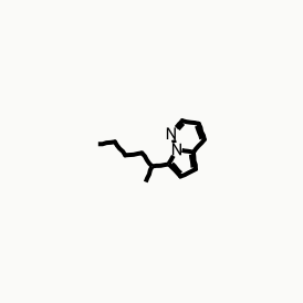 CCCCC(C)c1ccc2cccnn12